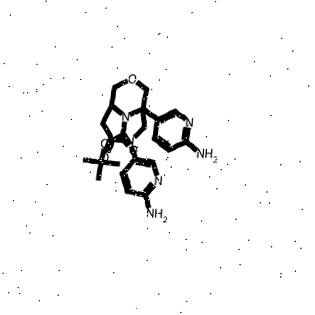 CC(C)(C)OC(=O)N1C2COCC1(c1ccc(N)nc1)CN(c1ccc(N)nc1)C(=O)C2